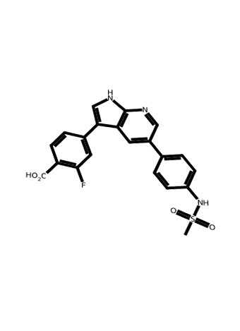 CS(=O)(=O)Nc1ccc(-c2cnc3[nH]cc(-c4ccc(C(=O)O)c(F)c4)c3c2)cc1